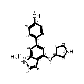 Cl.Oc1ccc(-c2cc(OC3CCNC3)c3cn[nH]c3c2)cc1